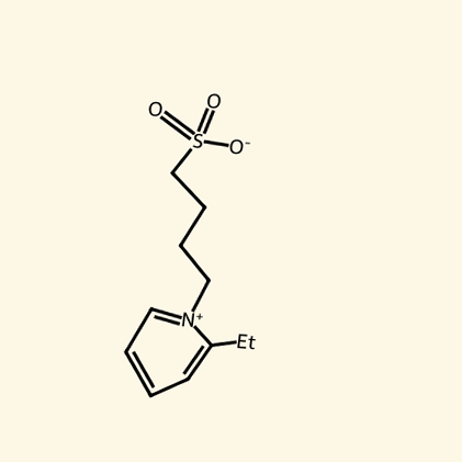 CCc1cccc[n+]1CCCCS(=O)(=O)[O-]